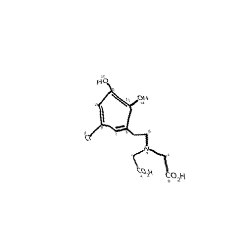 O=C(O)CN(CC(=O)O)Cc1cc(Cl)cc(O)c1O